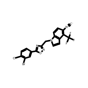 [C-]#[N+]c1ccc2c(ccn2Cc2noc(-c3ccc(Cl)c(Br)c3)n2)c1C(F)(F)F